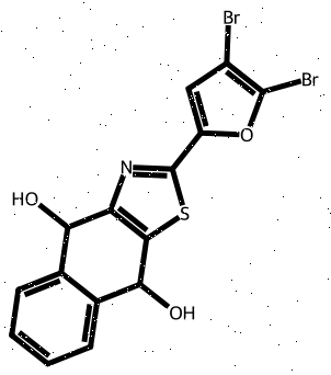 OC1c2ccccc2C(O)c2sc(-c3cc(Br)c(Br)o3)nc21